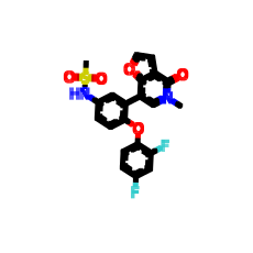 Cn1cc(-c2cc(NS(C)(=O)=O)ccc2Oc2ccc(F)cc2F)c2occc2c1=O